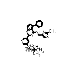 Cc1nc(CNc2nc(-c3cncc(S(=O)(=O)NC(C)(C)C)c3)nn3ccc(-c4ccccc4)c23)cs1